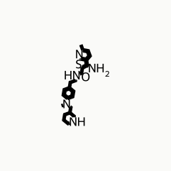 Cc1ccc2c(N)c(C(=O)NCCc3ccc(N(C)CC4CCCNC4)cc3)sc2n1